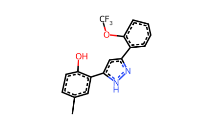 Cc1ccc(O)c(-c2cc(-c3ccccc3OC(F)(F)F)n[nH]2)c1